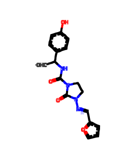 O=[C]C(NC(=O)N1CCN(/N=C/c2ccco2)C1=O)c1ccc(O)cc1